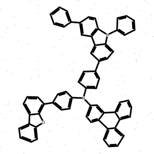 c1ccc(-c2ccc3c(c2)c2cc(-c4ccc(N(c5ccc(-c6cccc7c6oc6ccccc67)cc5)c5ccc6c7ccccc7c7ccccc7c6c5)cc4)ccc2n3-c2ccccc2)cc1